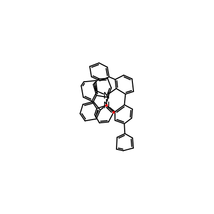 c1ccc(-c2ccc(-c3cccc(-c4ccccc4)c3-n3c4ccccc4c4ccccc43)c(-n3c4ccccc4c4ccccc43)c2)cc1